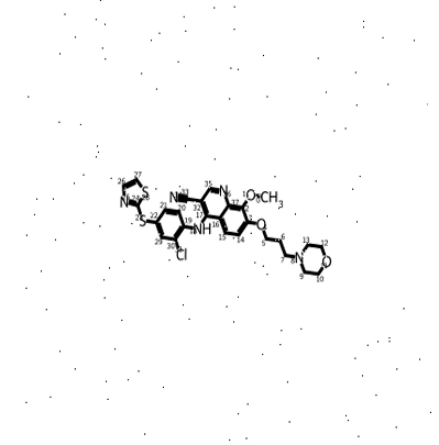 COc1c(OCCCN2CCOCC2)ccc2c(Nc3ccc(Sc4nccs4)cc3Cl)c(C#N)cnc12